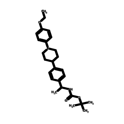 CCOc1ccc(N2CCC(c3ccc(C(C)NC(=O)OC(C)(C)C)cc3)CC2)cc1